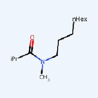 CCCCCCCCCN(C)C(=O)C(C)C